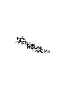 COc1ccc(-c2cn3nc(NCc4ccc(F)c(Cl)c4)sc3n2)cn1